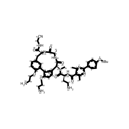 Cc1nc(-c2ccc(OC(C)(C)C)cc2)nc(C)c1C(=O)N[C@@H](CCN)C(=O)N(C)[C@@H]1C(=O)N[C@@H](C)C(=O)N[C@H](C(=O)NCC#N)Cc2ccc(OCCN)c(c2)-c2cc1ccc2OCCN